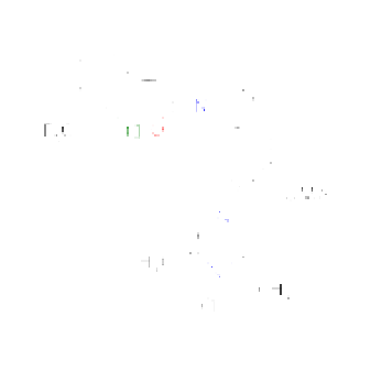 COc1cc2c(cc1N1CC(C)N(C)C(C)C1)N(C(=O)Cc1cccc(C(F)(F)F)c1Cl)CC2